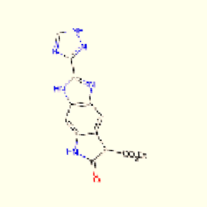 CCOC(=O)C1C(=O)Nc2cc3[nH]c(-c4nc[nH]n4)nc3cc21